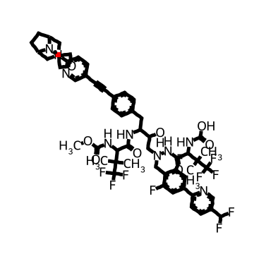 COC(=O)NC(C(=O)NC(Cc1ccc(C#Cc2ccc(N3CC4CCC(C3)N4C3COC3)nc2)cc1)C(O)CN(Cc1c(F)cc(-c2ccc(C(F)F)cn2)cc1F)NC(=O)C(NC(=O)O)C(C)(C)C(F)(F)F)C(C)(C)C(F)(F)F